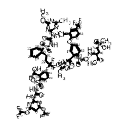 COc1nc(C)nc(NC(=O)NS(=O)(=O)c2ccccc2CCC(F)(F)F)n1.CP(=O)(O)CCC(N)C(=O)O.CS(=O)(=O)NC(=O)c1cc(Oc2ccc(C(F)(F)F)cc2Cl)ccc1[N+](=O)[O-].O=C(Nc1nc(OC(F)F)cc(OC(F)F)n1)NS(=O)(=O)c1ccccc1C(=O)O